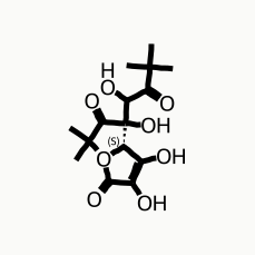 CC(C)(C)C(=O)C(O)C(O)(C(=O)C(C)(C)C)[C@H]1OC(=O)C(O)=C1O